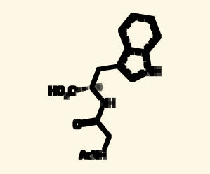 CC(=O)NCC(=O)N[C@@H](Cc1c[nH]c2ccccc12)C(=O)O